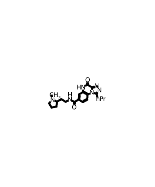 CCCc1nnc2c(=O)[nH]c3cc(C(=O)NCCC4CCCN4C)ccc3n12